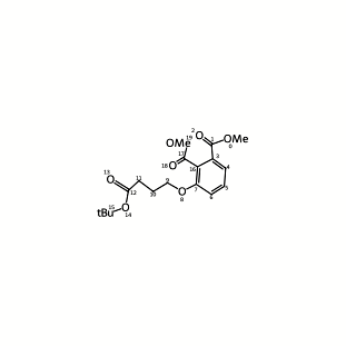 COC(=O)c1cccc(OCCCC(=O)OC(C)(C)C)c1C(=O)OC